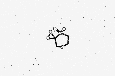 O=S1(=O)CCSCC12OO2